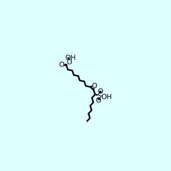 CCCCCCCC(C1OC1CCCCCCCC(=O)OO)S(=O)(=O)O